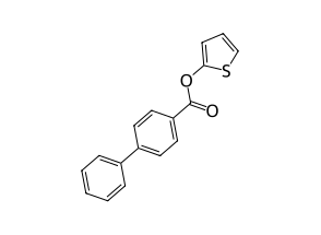 O=C(Oc1cccs1)c1ccc(-c2ccccc2)cc1